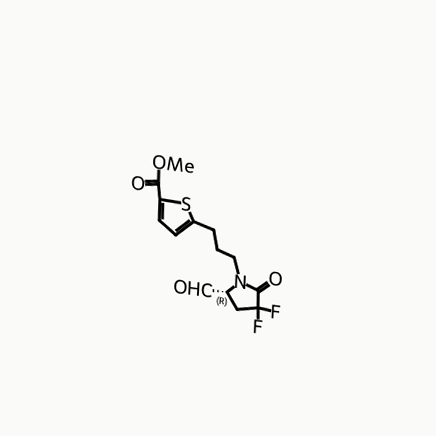 COC(=O)c1ccc(CCCN2C(=O)C(F)(F)C[C@@H]2C=O)s1